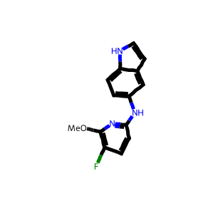 COc1nc(Nc2ccc3[nH]ccc3c2)ccc1F